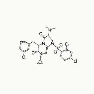 CN(C)C1CN(S(=O)(=O)c2ccc(Cl)cc2Cl)C2=CN(C3CC3)C(=O)C(Cc3cccc(Cl)c3)N2C1=O